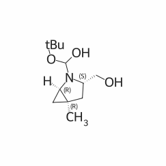 CC(C)(C)OC(O)N1[C@H](CO)C[C@@]2(C)C[C@@H]12